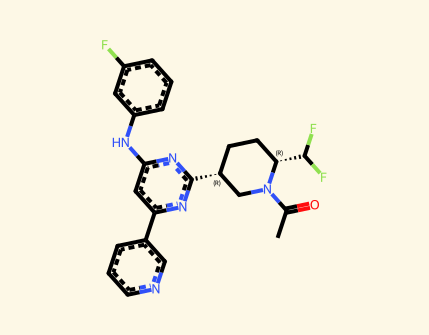 CC(=O)N1C[C@H](c2nc(Nc3cccc(F)c3)cc(-c3cccnc3)n2)CC[C@@H]1C(F)F